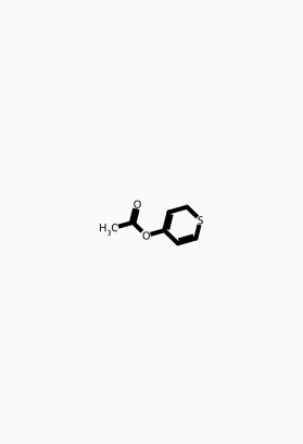 CC(=O)OC1=CCSC=C1